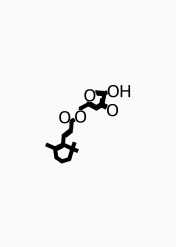 CC1=C(C=CC(=O)OCc2cc(=O)c(O)co2)C(C)(C)CCC1